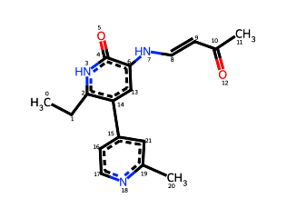 CCc1[nH]c(=O)c(NC=CC(C)=O)cc1-c1ccnc(C)c1